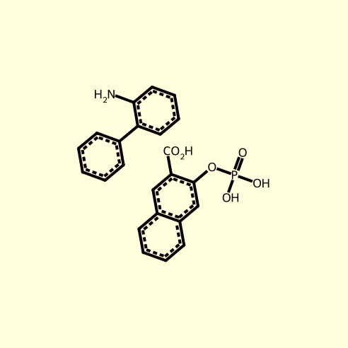 Nc1ccccc1-c1ccccc1.O=C(O)c1cc2ccccc2cc1OP(=O)(O)O